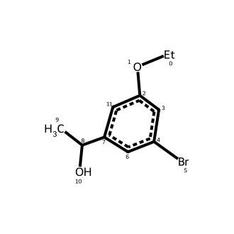 CCOc1cc(Br)cc(C(C)O)c1